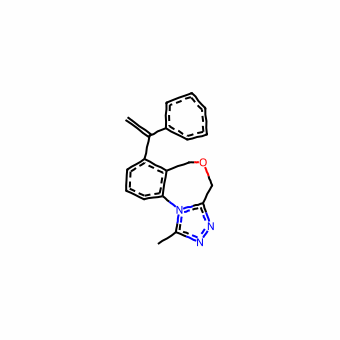 C=C(c1ccccc1)c1cccc2c1COCc1nnc(C)n1-2